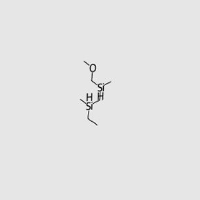 CC[SiH](C)C[SiH](C)COC